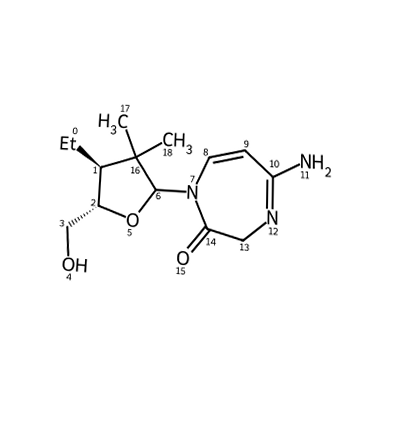 CC[C@@H]1[C@@H](CO)OC(N2C=CC(N)=NCC2=O)C1(C)C